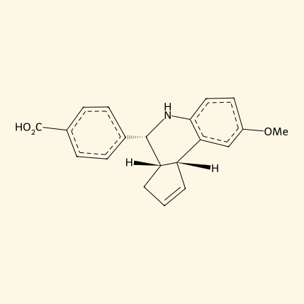 COc1ccc2c(c1)[C@@H]1C=CC[C@@H]1[C@H](c1ccc(C(=O)O)cc1)N2